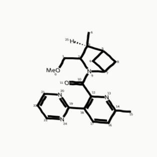 COCC1[C@@H](C)C2CC(C2)N1C(=O)c1nc(C)ccc1-c1ncccn1